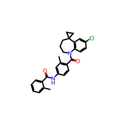 Cc1ccccc1C(=O)Nc1ccc(C(=O)N2CCCC3(CC3)c3cc(Cl)ccc32)c(C)c1